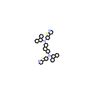 c1ccc2c(c1)cc(N(c1ccc3c(ccc4cc(N(c5ccc6c(c5)sc5ncccc56)c5cc6ccccc6c6ccccc56)ccc43)c1)c1ccc3c(c1)sc1ncccc13)c1ccccc12